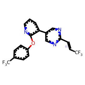 FC(F)(F)/C=C/c1ncc(-c2cccnc2Oc2ccc(C(F)(F)F)cc2)cn1